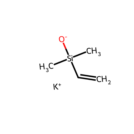 C=C[Si](C)(C)[O-].[K+]